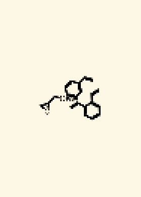 C=Cc1ccccc1.C=Cc1ccccc1C=C.COCC1CO1